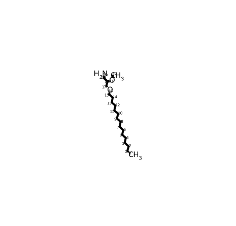 CCCCCCCCCCCCCCCCOCC(CN)OC